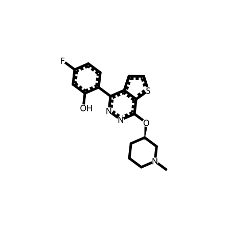 CN1CCC[C@@H](Oc2nnc(-c3ccc(F)cc3O)c3ccsc23)C1